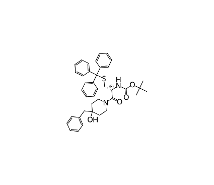 CC(C)(C)OC(=O)N[C@@H](CSC(c1ccccc1)(c1ccccc1)c1ccccc1)C(=O)N1CCC(O)(Cc2ccccc2)CC1